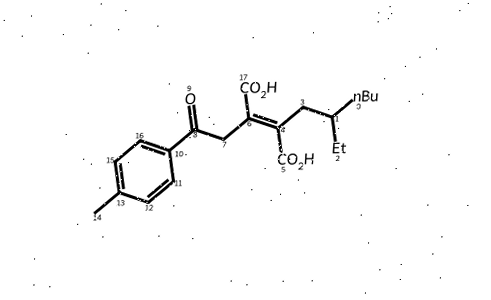 CCCCC(CC)C/C(C(=O)O)=C(/CC(=O)c1ccc(C)cc1)C(=O)O